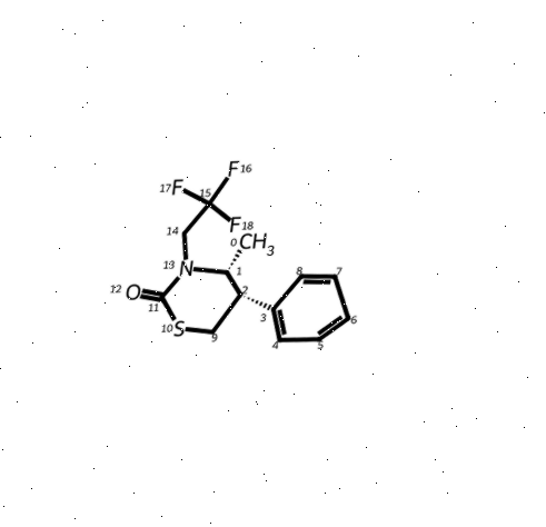 C[C@@H]1[C@H](c2ccccc2)CSC(=O)N1CC(F)(F)F